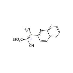 CCOC(=O)/C(C#N)=C(\N)c1ccc2ccccc2n1